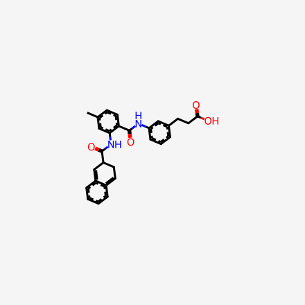 Cc1ccc(C(=O)Nc2cccc(CCC(=O)O)c2)c(NC(=O)C2C=c3ccccc3=CC2)c1